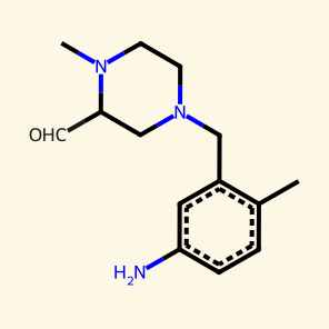 Cc1ccc(N)cc1CN1CCN(C)C(C=O)C1